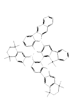 Cc1cc2c(cc1N1B3c4c(cc5c(c4-c4c1ccc1c4oc4cc6c(cc41)C(C)(C)CCC6(C)C)C(C)(C)c1ccccc1-5)-n1c4cc5ccccc5cc4c4cccc3c41)C(C)(C)CCC2(C)C